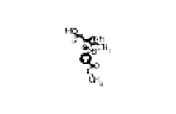 CCOC(=O)c1cccc(S(=O)(=O)c2c(CCC(=O)O)c[nH]c2C)c1